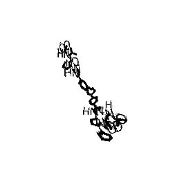 COC(=O)NC(C(=O)N1CCC[C@H]1c1ncc(-c2ccc3cc(-c4ccc(-c5cnc([C@@H]6CC[C@H](c7ccccc7)N6C(=O)[C@H](C)NC(=O)OC)[nH]5)cc4)ccc3c2)[nH]1)C(C)C